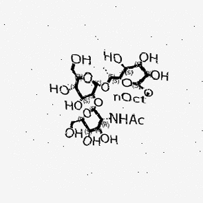 CCCCCCCCO[C@H]1O[C@H]([C@@H](C)O[C@H]2O[C@H](CO)[C@@H](O)[C@H](O)[C@@H]2O[C@@H]2O[C@H](CO)[C@@H](O)[C@H](O)[C@H]2NC(C)=O)[C@@H](O)[C@H](O)[C@H]1O